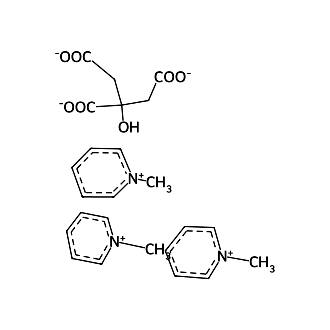 C[n+]1ccccc1.C[n+]1ccccc1.C[n+]1ccccc1.O=C([O-])CC(O)(CC(=O)[O-])C(=O)[O-]